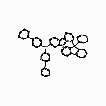 C1=CC(C2(c3cccc4c3sc3cc(N(c5ccc(-c6ccccc6)cc5)c5ccc(-c6ccccc6)cc5)ccc34)c3ccccc3-c3ccccc32)=CCC1